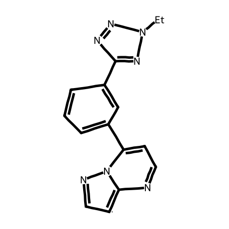 CCn1nnc(-c2cccc(-c3ccnc4[c]cnn34)c2)n1